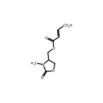 CN1C(=O)OCC1COC(=O)/C=C/C(=O)O